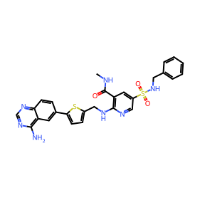 CNC(=O)c1cc(S(=O)(=O)NCc2ccccc2)cnc1NCc1ccc(-c2ccc3ncnc(N)c3c2)s1